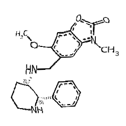 COc1cc2oc(=O)n(C)c2cc1CN[C@H]1CCCN[C@H]1c1ccccc1